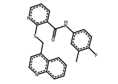 Cc1cc(NC(=O)c2cccnc2SCc2ccnc3ccccc23)ccc1F